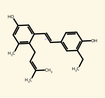 CCc1cc(/C=C/c2cc(O)cc(C)c2CC=C(C)C)ccc1O